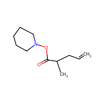 C=CCC(C)C(=O)ON1CCCCC1